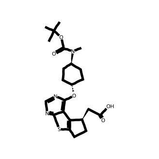 CN(C(=O)OC(C)(C)C)[C@H]1CC[C@H](Oc2ncnc3sc4c(c23)[C@@H](CC(=O)O)CC4)CC1